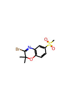 CC1(C)Oc2ccc(S(C)(=O)=O)cc2N=C1Br